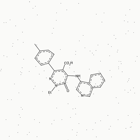 CCn1nc(-c2ccc(C)cc2)c(C(=O)O)c(Nc2cncc3ccccc23)c1=O